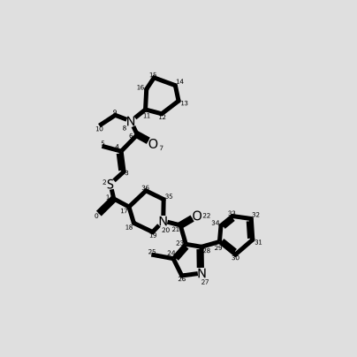 C=C(S/C=C(\C)C(=O)N(CC)C1CCCCC1)C1CCN(C(=O)C2=C(C)CN=C2c2ccccc2)CC1